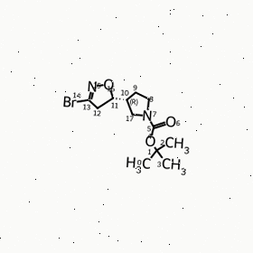 CC(C)(C)OC(=O)N1CC[C@@H](C2CC(Br)=NO2)C1